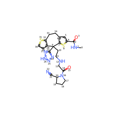 CNC(=O)c1cc2c(s1)C(CCNCC(=O)N1CCCC1C#N)(c1nn[nH]n1)c1ccsc1CC2